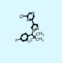 CC(C)(C)C(c1ccc(F)cc1)n1cc(-c2cncc(Cl)n2)cn1